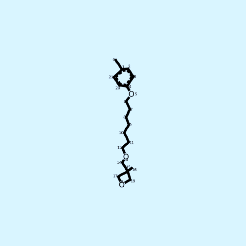 Cc1ccc(OCCCCCCCOCC2(C)COC2)cc1